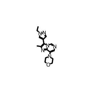 CCn1cc(-c2c(C)nc3c(N4CCOCC4)cncn23)cn1